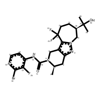 C[C@@H]1Cc2nn3c(c2CN1C(=O)Nc1ccnc(Br)c1F)C(F)(F)CC[C@@H](C(C)(C)O)C3